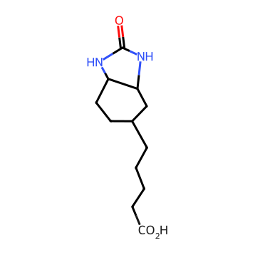 O=C(O)CCCCC1CCC2NC(=O)NC2C1